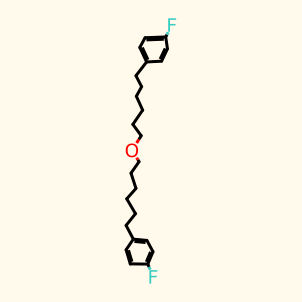 Fc1ccc(CCCCCCOCCCCCCc2ccc(F)cc2)cc1